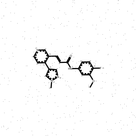 COc1cc(NC(=O)/C=C/c2cnccc2-c2cnn(C)c2)ccc1F